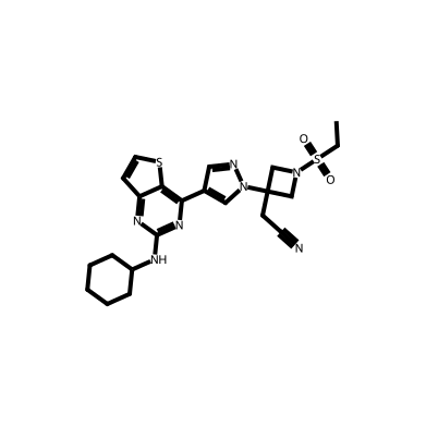 CCS(=O)(=O)N1CC(CC#N)(n2cc(-c3nc(NC4CCCCC4)nc4ccsc34)cn2)C1